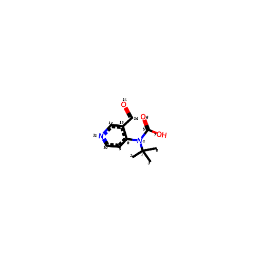 CC(C)(C)N(C(=O)O)c1ccncc1C=O